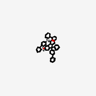 C[Si]1(C)c2ccccc2-c2ccc(N(c3ccccc3-c3ccccc3)c3cccc4c3-c3ccccc3C4(c3ccccc3)c3ccc(-c4ccccc4)cc3)cc21